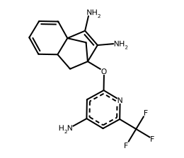 NC1=C(N)C23C=CC=CC2CC1(Oc1cc(N)cc(C(F)(F)F)n1)C3